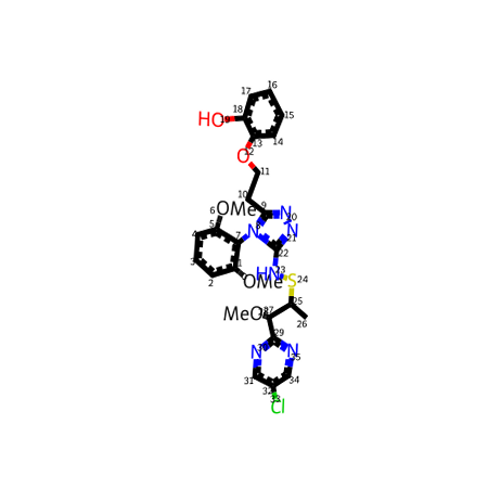 COc1cccc(OC)c1-n1c(CCOc2ccccc2O)nnc1NSC(C)C(OC)c1ncc(Cl)cn1